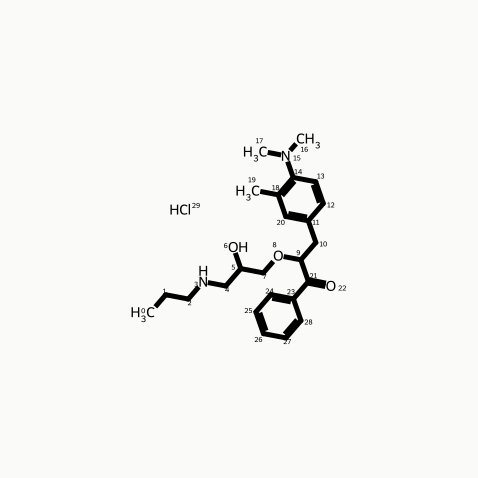 CCCNCC(O)COC(Cc1ccc(N(C)C)c(C)c1)C(=O)c1ccccc1.Cl